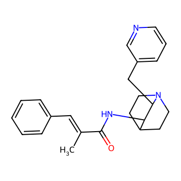 CC(=Cc1ccccc1)C(=O)NC1C2CCN(CC2)C1Cc1cccnc1